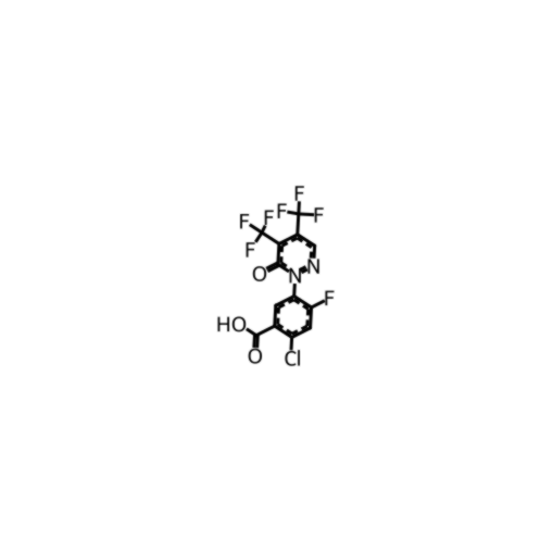 O=C(O)c1cc(-n2ncc(C(F)(F)F)c(C(F)(F)F)c2=O)c(F)cc1Cl